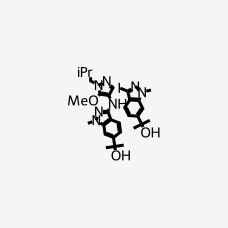 COc1c(Nc2nn(C)c3cc(C(C)(C)O)ccc23)cnn1CC(C)C.Cn1nc(I)c2ccc(C(C)(C)O)cc21